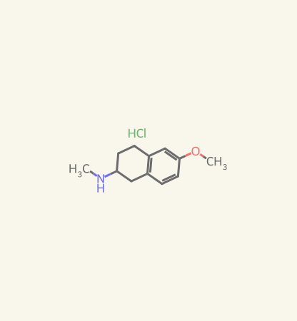 CNC1CCc2cc(OC)ccc2C1.Cl